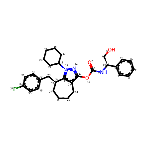 O=C(N[C@@H](CO)c1ccccc1)Oc1nn(C2CCCCC2)c2c1CCCC[C@H]2Cc1ccc(F)cc1